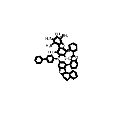 Bc1c(B)c(B)c2c(sc3c(B)c(B)c(N(c4ccc(-c5ccccc5)cc4)c4cc(-c5cccc6oc(-c7ccccc7)nc56)c5c(c4)sc4ccc6ccccc6c45)c(B)c32)c1B